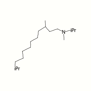 CC(C)CCCCCCCC(C)CCN(C)C(C)C